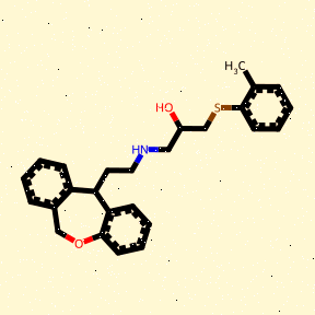 Cc1ccccc1SCC(O)CNCCC1c2ccccc2COc2ccccc21